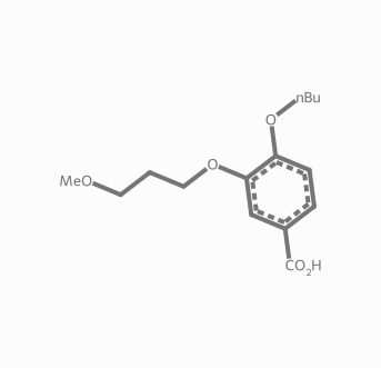 CCCCOc1ccc(C(=O)O)cc1OCCCOC